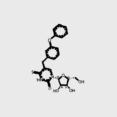 O=c1[nH]c(=S)c(Cc2cccc(Oc3ccccc3)c2)cn1[C@@H]1O[C@H](CO)[C@@H](O)[C@H]1O